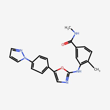 CNC(=O)c1ccc(C)c(Nc2ncc(-c3ccc(-n4cccn4)cc3)o2)c1